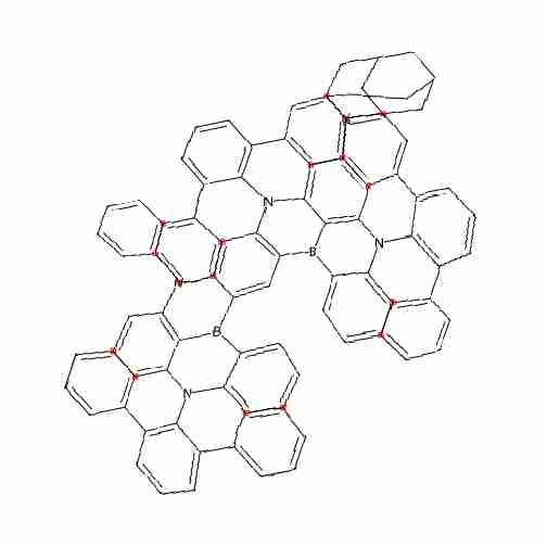 c1ccc(-c2cccc(-c3ccccc3)c2N2c3ccccc3B3c4cc5c(cc4N(c4ccccc4)c4cccc2c43)N(c2c(-c3ccccc3)cccc2-c2ccccc2)c2cc(N3C4CC6CC(C4)CC3C6)cc3c2B5c2ccccc2N3c2c(-c3ccccc3)cccc2-c2ccccc2)cc1